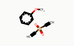 C#CS(=O)(=O)C#C.FC(F)(F)Oc1ccccc1